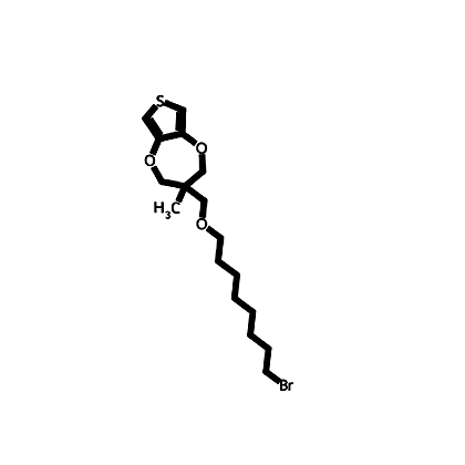 CC1(COCCCCCCCCBr)COc2cscc2OC1